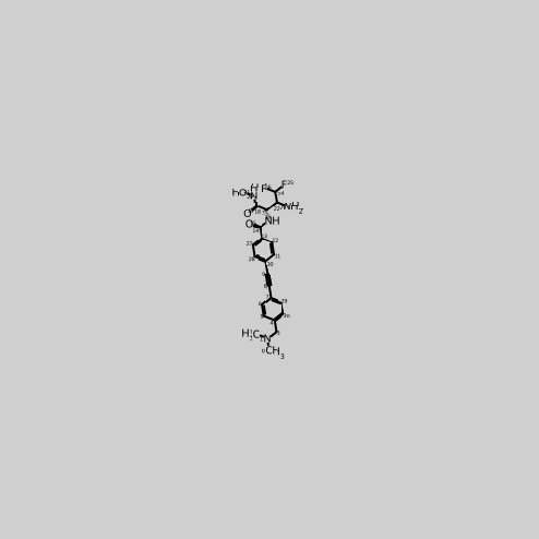 CN(C)Cc1ccc(C#Cc2ccc(C(=O)N[C@H](C(=O)NO)C(N)C(F)F)cc2)cc1